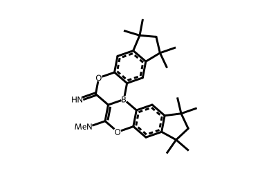 CNC1=C2B(c3cc4c(cc3OC2=N)C(C)(C)CC4(C)C)c2cc3c(cc2O1)C(C)(C)CC3(C)C